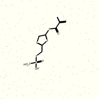 C=C(C)C(=O)SC1CSC(CSP(=O)(O)C(=O)O)S1